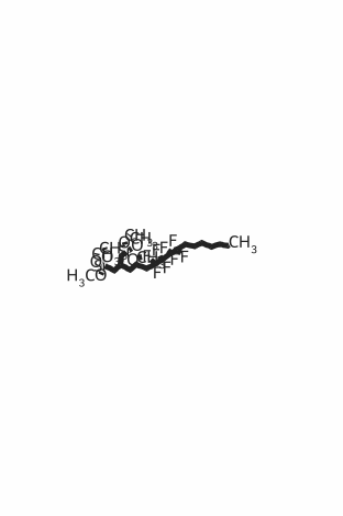 CCCCCCCC(F)(F)C(F)(F)C(F)(F)C(F)(F)CCCC(C[Si](OC)(OC)OC)C[Si](OC)(OC)OC